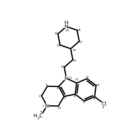 CN1CCc2c(c3cc(Cl)ccc3n2CCC2CCNCC2)C1